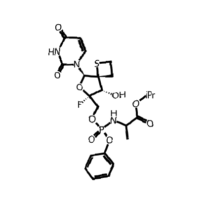 CC(C)OC(=O)C(C)NP(=O)(OC[C@@]1(F)O[C@@H](n2ccc(=O)[nH]c2=O)[C@@]2(CCS2)[C@@H]1O)Oc1ccccc1